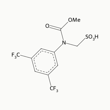 COC(=O)N(CS(=O)(=O)O)c1cc(C(F)(F)F)cc(C(F)(F)F)c1